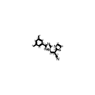 Cc1cc(C)cc(-c2ncn(/C=C(/C#N)c3nccs3)n2)c1